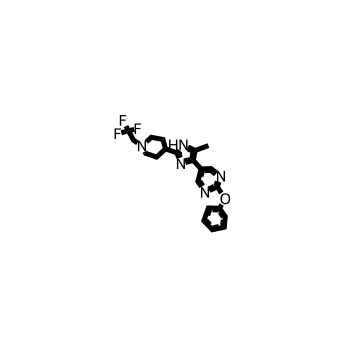 Cc1[nH]c(C2CCN(CC(F)(F)F)CC2)nc1-c1cnc(Oc2ccccc2)nc1